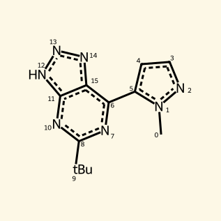 Cn1nccc1-c1nc(C(C)(C)C)nc2[nH]nnc12